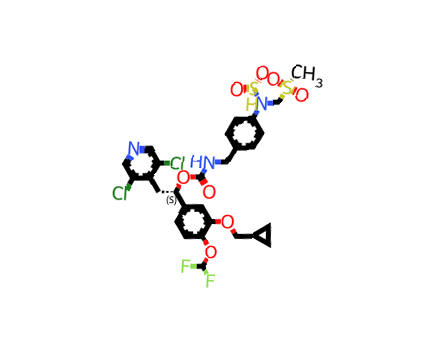 CS(=O)(=O)CN(c1ccc(CNC(=O)O[C@@H](Cc2c(Cl)cncc2Cl)c2ccc(OC(F)F)c(OCC3CC3)c2)cc1)[SH](=O)=O